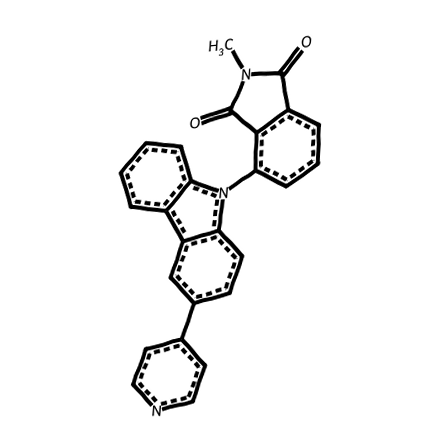 CN1C(=O)c2cccc(-n3c4ccccc4c4cc(-c5ccncc5)ccc43)c2C1=O